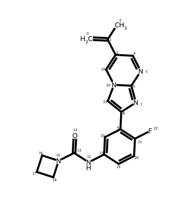 C=C(C)c1cnc2nc(-c3cc(NC(=O)N4CCC4)ccc3F)cn2c1